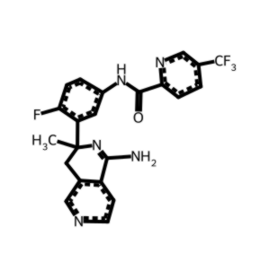 CC1(c2cc(NC(=O)c3ccc(C(F)(F)F)cn3)ccc2F)Cc2cnccc2C(N)=N1